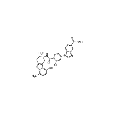 COC(=O)c1ccc2c(c1)ncn2-c1ccc(C(=O)N[C@]2(C)CCc3nn4c(C)ccc(O)c4c3C2)c(Cl)c1